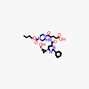 CCCCOC(=O)N1CCN(C(=O)C(CCC(=O)O)NC(=O)c2cc([C@H]3C[C@@H]3CO)nc(-c3ccccc3)n2)CC1